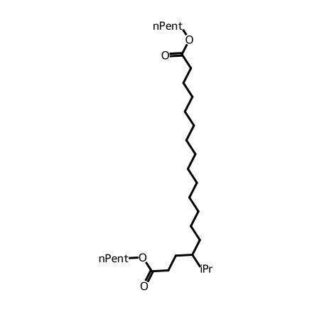 CCCCCOC(=O)CCCCCCCCCCCCCC(CCC(=O)OCCCCC)C(C)C